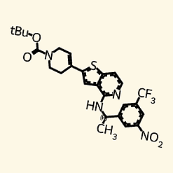 C[C@@H](Nc1nccc2sc(C3=CCN(C(=O)OC(C)(C)C)CC3)cc12)c1cc([N+](=O)[O-])cc(C(F)(F)F)c1